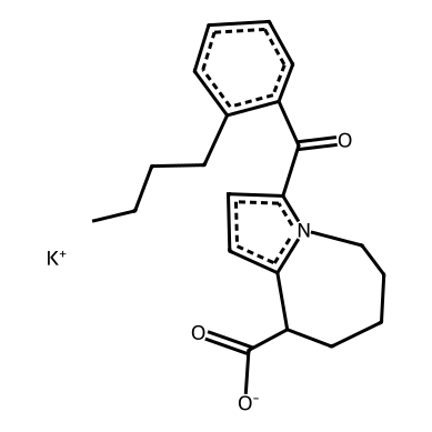 CCCCc1ccccc1C(=O)c1ccc2n1CCCCC2C(=O)[O-].[K+]